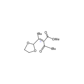 COC(=O)/C(C(=O)C(C)(C)C)=C(/C1OCCO1)C(C)(C)C